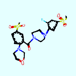 CS(=O)(=O)c1ccc(N2CCN(C(=O)c3cc(S(C)(=O)=O)ccc3N3CCOCC3)CC2)c(F)c1